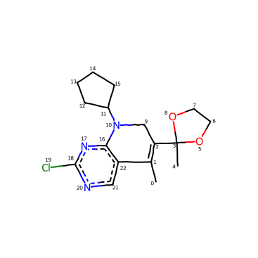 CC1=C(C2(C)OCCO2)CN(C2CCCC2)c2nc(Cl)ncc21